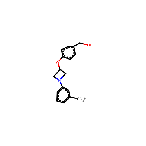 O=C(O)c1cccc(N2CC(Oc3ccc(CO)cc3)C2)c1